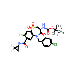 CC(C)(C)OC(=O)N[C@H]1CS(=O)(=O)c2cc(F)c(C(=O)NC3CC3(F)F)cc2N(Cc2ccc(Cl)cc2)C1=O